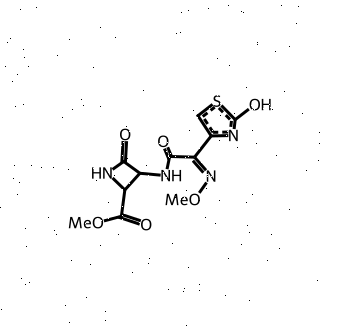 CON=C(C(=O)NC1C(=O)NC1C(=O)OC)c1csc(O)n1